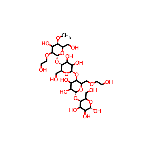 CO[C@H]1C(CO)O[C@H](O[C@H]2C(CO)O[C@H](O[C@H]3C(COCCO)O[C@H](O[C@H]4C(CO)O[C@H](O)C(O)C4O)C(O)C3O)C(O)C2O)C(OCCO)C1O